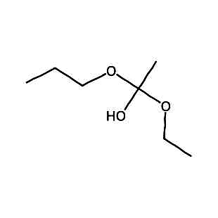 CCCOC(C)(O)OCC